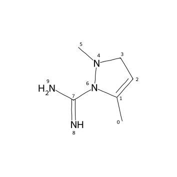 CC1=CCN(C)N1C(=N)N